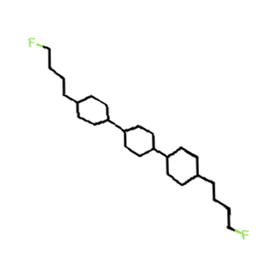 FCCCCC1CCC(C2CCC(C3CCC(CCCCF)CC3)CC2)CC1